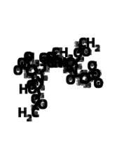 C=CC(=O)OCC(O)CN(CCCC[Si](C)(C)O[Si](C)(C)CCCCN(CC(O)COC(=O)C=C)C(=O)c1ccc2c(c1)C(=O)OC2=O)C(=O)c1ccc2c(c1)C(=O)OC2=O